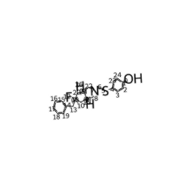 Oc1ccc(SCN2C[C@@H]3C[C@@](F)(Cc4ccccc4)C[C@@H]3C2)cc1